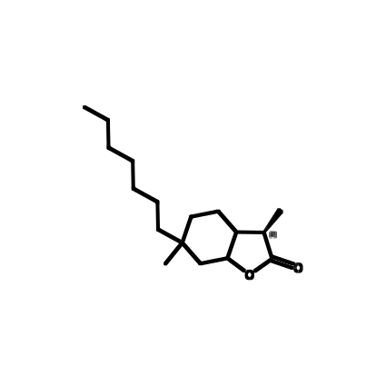 CCCCCCCC1(C)CCC2C(C1)OC(=O)[C@@H]2C